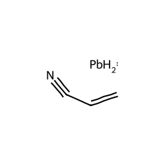 C=CC#N.[PbH2]